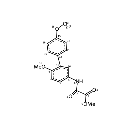 COC(=O)C(=O)Nc1ccc(OC)c(-c2ccc(OC(F)(F)F)cc2)c1